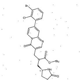 CC(C)(C)OC(=O)N(Cc1cnc2cc(-c3cccc(Br)c3Cl)ccn2c1=O)C[C@@H]1CCC(=O)N1